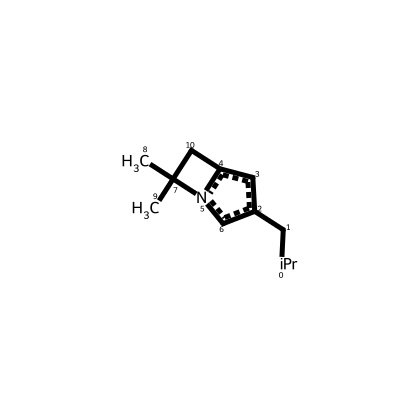 CC(C)Cc1cc2n(c1)C(C)(C)C2